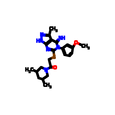 COc1cccc(-n2c(SCC(=O)N3CC(C)CC(C)C3)nc3[nH]nc(C)c3c2=N)c1